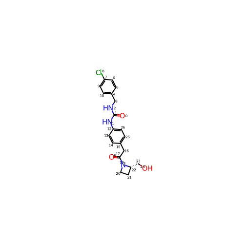 O=C(NCc1ccc(Cl)cc1)Nc1ccc(CC(=O)N2CC[C@H]2CO)cc1